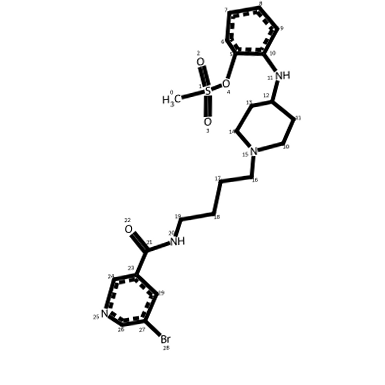 CS(=O)(=O)Oc1ccccc1NC1CCN(CCCCNC(=O)c2cncc(Br)c2)CC1